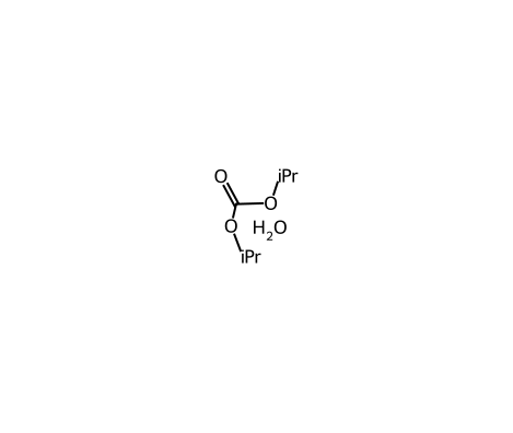 CC(C)OC(=O)OC(C)C.O